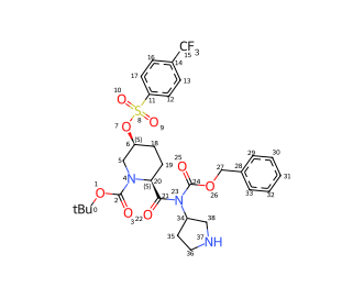 CC(C)(C)OC(=O)N1C[C@@H](OS(=O)(=O)c2ccc(C(F)(F)F)cc2)CC[C@H]1C(=O)N(C(=O)OCc1ccccc1)C1CCNC1